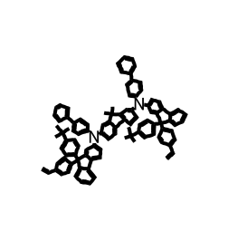 C=Cc1ccc(C2(c3ccc(C(C)(C)C)cc3)c3ccccc3-c3ccc(N(c4ccc(-c5ccccc5)cc4)c4ccc5c(c4)C(C)(C)c4cc(N(c6ccc(-c7ccccc7)cc6)c6ccc7c(c6)C(c6ccc(C=C)cc6)(c6ccc(C(C)(C)C)cc6)c6ccccc6-7)ccc4-5)cc32)cc1